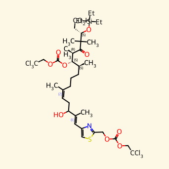 CC[Si](CC)(CC)O[C@@H](CC(=O)O)C(C)(C)C(=O)[C@H](C)[C@@H](OC(=O)OCC(Cl)(Cl)Cl)[C@@H](C)CCC/C(C)=C\CC(O)/C(C)=C/c1csc(COC(=O)OCC(Cl)(Cl)Cl)n1